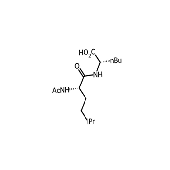 CCCC[C@H](NC(=O)[C@H](CCC(C)C)NC(C)=O)C(=O)O